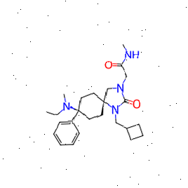 CCN(C)[C@]1(c2ccccc2)CC[C@@]2(CC1)CN(CC(=O)NC)C(=O)N2CC1CCC1